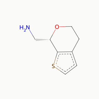 NC[C@@H]1OCCc2ccsc21